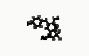 C=Cc1nc2c(cc1Cc1ccc(F)cc1)N(C(C)=O)CC2(C)C